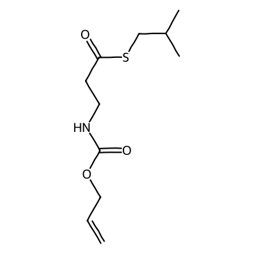 C=CCOC(=O)NCCC(=O)SCC(C)C